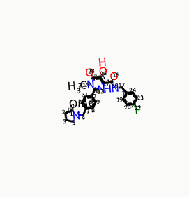 CO[C@H]1CCCN1Cc1ccc(-c2nc(C(=O)NCc3ccc(F)cc3)c(O)c(=O)n2C)cc1